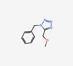 COCc1nnnn1[CH]c1ccccc1